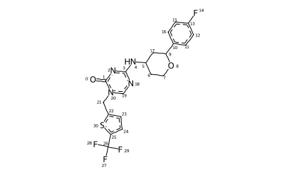 O=c1nc(NC2CCOC(c3ccc(F)cc3)C2)ncn1Cc1ccc(C(F)(F)F)s1